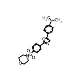 CN(C)c1ccc(-c2cnc(-c3ccc(S(=O)(=O)N4CCOCC4)cc3)o2)cc1